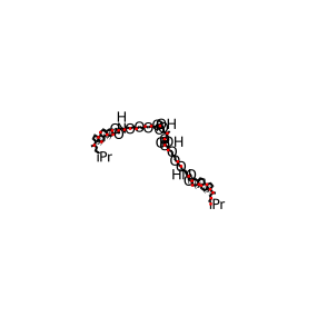 CC(C)CCCC(C)C1CCC2C3CC=C4C[C@H](OC(=O)NCCOCCOCCOCCOP(=O)(O)OCC(C)COP(=O)(O)OCCOCCOCCOCCNC(=O)O[C@@H]5CC[C@]6(C)C(=CCC7C8CCC(C(C)CCCC(C)C)[C@]8(C)CCC76)C5)CC[C@@]4(C)C3CC[C@@]12C